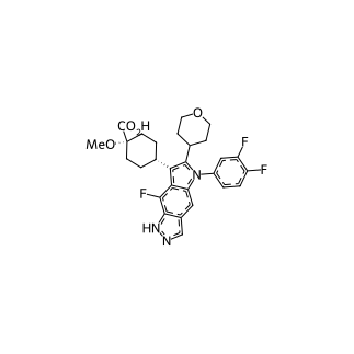 CO[C@]1(C(=O)O)CC[C@H](c2c(C3CCOCC3)n(-c3ccc(F)c(F)c3)c3cc4cn[nH]c4c(F)c32)CC1